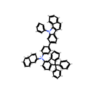 c1ccc(-n2c3cc(-c4ccc(N(c5ccc6ccccc6c5)c5cccc6c5-c5ccccc5C6(c5ccccc5)c5ccccc5)cc4)ccc3c3ccc4ccccc4c32)cc1